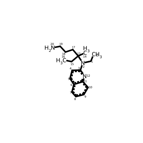 CCN(c1ccc2ccccc2n1)C(C)(CC)CCCN